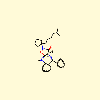 CC(C)CCCCC1(N2OC3=[N+](C)c4ccccc4C(c4ccccc4)=N[C@@H]3C2=O)CCCC1